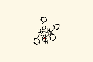 O=P(OCc1ccccc1)(OCc1ccccc1)[C@H](N=C(c1ccccc1)c1ccccc1)[C@H]1CN2CCC1CC2